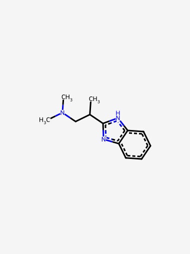 CC(CN(C)C)c1nc2ccccc2[nH]1